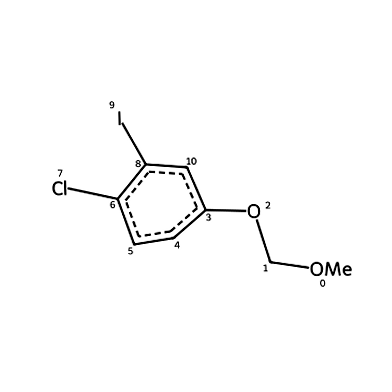 COCOc1ccc(Cl)c(I)c1